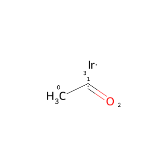 C[C]=O.[Ir]